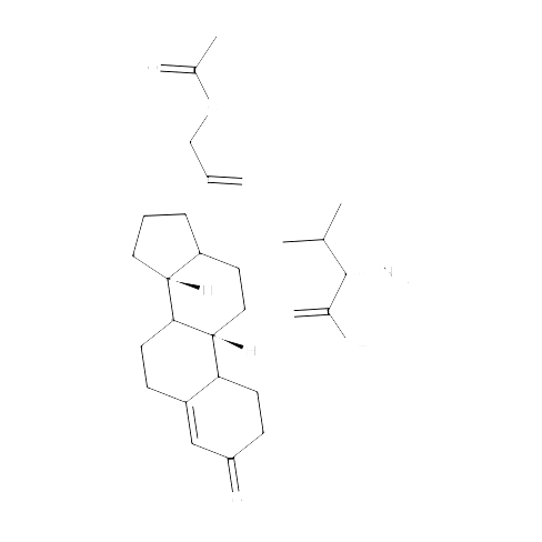 CC(=O)OCC(=O)[C@H]1CC[C@H]2[C@@H]3CCC4=CC(=O)CC[C@]4(C)[C@H]3CC[C@]12C.CC(C)[C@H](N)C(=O)O